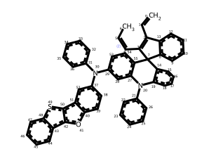 C=CC1=C(/C=C\C)C2(c3ccccc31)c1ccccc1N(c1ccccc1)c1cc(N(c3ccccc3)c3ccc4oc5c6ccccc6sc5c4c3)ccc12